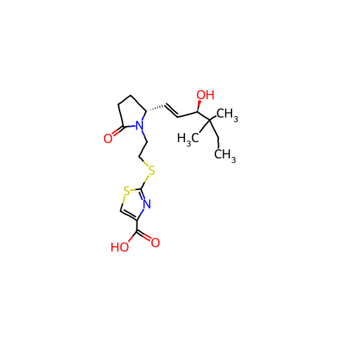 CCC(C)(C)[C@H](O)/C=C/[C@H]1CCC(=O)N1CCSc1nc(C(=O)O)cs1